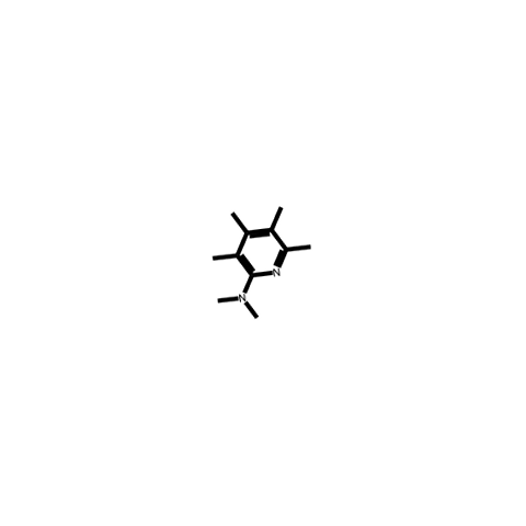 Cc1nc(N(C)C)c(C)c(C)c1C